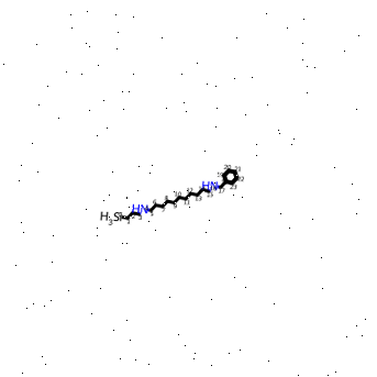 [SiH3]CCCNCCCCCCCCCCCNCc1ccccc1